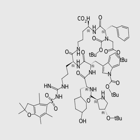 Cc1c(C)c(S(=O)(=O)NC(=N)NCCC[C@H](NC(=O)[C@H](Cc2cn(C(=O)OC(C)(C)C)c3ccccc23)NC(=O)[C@@H](CC2CCC(O)CC2)NC(=O)[C@@H]2C[C@@H](OC(C)(C)C)CN2)C(=O)NCCC[C@H](NC(=O)[C@H](Cc2ccccc2)N(CC(=O)OC(C)(C)C)C(=O)OC(C)(C)C)C(=O)O)c(C)c2c1OC(C)(C)C2